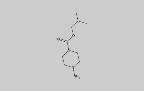 CC(C)COC(=O)N1CCN(N)CC1